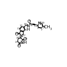 Cc1ccc(C#CC(=O)NCc2ccc3c(c2)CN(C2CCC(=O)NC2=O)C3=O)nc1